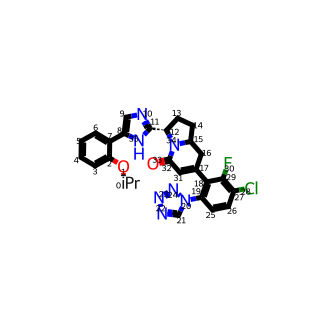 CC(C)Oc1ccccc1-c1cnc([C@@H]2CCC3CC(c4c(-n5cnnn5)ccc(Cl)c4F)=CC(=O)N32)[nH]1